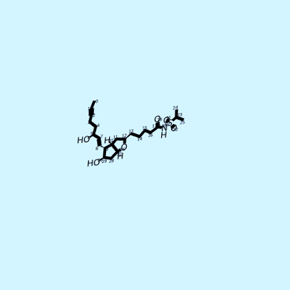 CC#CCC[C@H](O)C=C[C@@H]1[C@H]2C[C@@H](CCCCC(=O)NS(=O)(=O)C(C)C)O[C@H]2C[C@H]1O